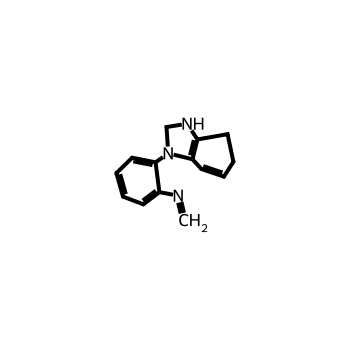 C=Nc1ccccc1N1CNC2=C1C=CCC2